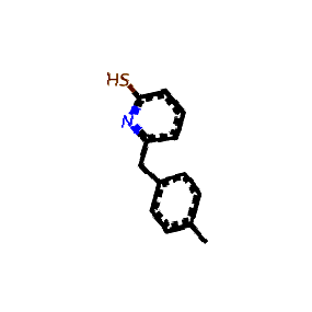 Cc1ccc(Cc2cccc(S)n2)cc1